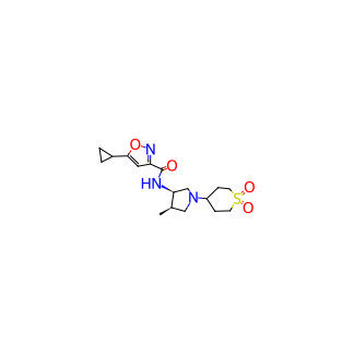 C[C@@H]1CN(C2CCS(=O)(=O)CC2)C[C@@H]1NC(=O)c1cc(C2CC2)on1